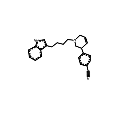 N#Cc1ccc(C2C=CCN(CCCCc3c[nH]c4ccccc34)C2)cc1